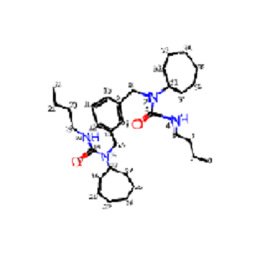 CCCCNC(=O)N(Cc1cccc(CN(C(=O)NCCCC)C2CCCCCC2)c1)C1CCCCCC1